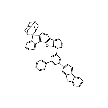 c1ccc(-c2cc(-c3ccc4c(c3)sc3ccccc34)cc(-c3cccc4c3oc3c5c(ccc34)C3(c4ccccc4-5)C4CC5CC(C4)CC3C5)c2)cc1